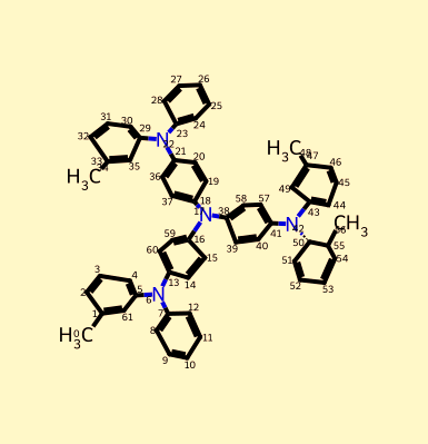 Cc1cccc(N(c2ccccc2)c2ccc(N(c3ccc(N(c4ccccc4)c4cccc(C)c4)cc3)c3ccc(N(c4cccc(C)c4)[C@H]4C=CC=CC4C)cc3)cc2)c1